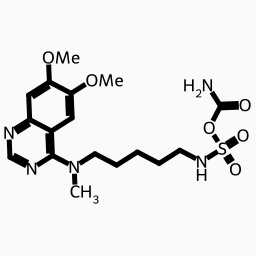 COc1cc2ncnc(N(C)CCCCCNS(=O)(=O)OC(N)=O)c2cc1OC